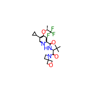 C[C@H](Oc1cc(C(=O)NC(C(=O)N2CCC23COC3)C(C)(C)C)ncc1C1CC1)C(F)(F)F